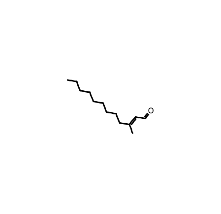 CCCCCCCCCC(C)=CC=O